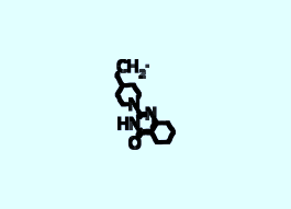 [CH2]CC1CCN(c2nc3c(c(=O)[nH]2)CCCC3)CC1